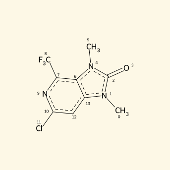 Cn1c(=O)n(C)c2c(C(F)(F)F)nc(Cl)cc21